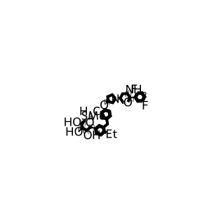 CCc1ccc([C@@H]2OC(SC)[C@@H](O)[C@H](O)[C@H]2O)cc1Cc1ccc(O[C@@H]2CCN(C3CO[C@H](c4cc(F)ccc4F)[C@@H](N)C3)C2)c(C)c1